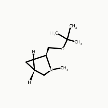 CN1C[C@@H]2C[C@@H]2[C@H]1COC(C)(C)C